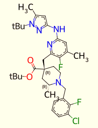 Cc1cc(Nc2cc(C)n(C(C)(C)C)n2)nc(C[C@@]2(C(=O)OC(C)(C)C)CCN(Cc3cccc(Cl)c3F)[C@H](C)C2)c1F